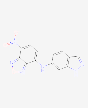 O=[N+]([O-])c1ccc(Nc2ccc3cn[nH]c3c2)c2nonc12